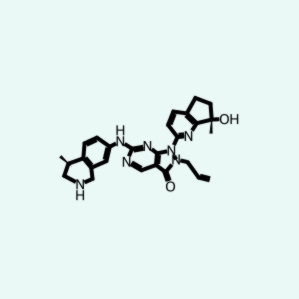 C=CCn1c(=O)c2cnc(Nc3ccc4c(c3)CNC[C@H]4C)nc2n1-c1ccc2c(n1)[C@@](C)(O)CC2